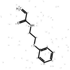 C=CC(=O)NCCSc1ccccc1